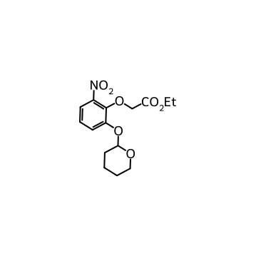 CCOC(=O)COc1c(OC2CCCCO2)cccc1[N+](=O)[O-]